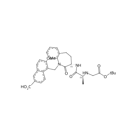 COc1ccc2cc(C(=O)O)ccc2c1CN1C(=O)[C@@H](NC(=O)[C@H](C)NCC(=O)OC(C)(C)C)CCc2ccccc21